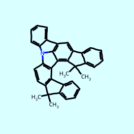 CC1(C)c2ccccc2-c2c1ccc1c2c2c3c(cc4c5ccccc5n1c42)-c1ccccc1C3(C)C